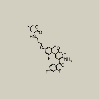 CC(C)C[C@@H](NCCCOc1cc(F)c(-c2cc(C(=O)c3ccc(F)cc3F)c(N)[nH]c2=O)c(F)c1)C(=O)O